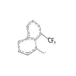 [CH2]c1cccc2cccc(C(F)(F)F)c12